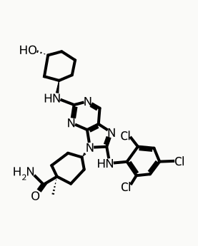 C[C@]1(C(N)=O)CC[C@H](n2c(Nc3c(Cl)cc(Cl)cc3Cl)nc3cnc(N[C@@H]4CCC[C@@H](O)C4)nc32)CC1